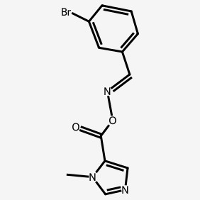 Cn1cncc1C(=O)ON=Cc1cccc(Br)c1